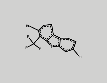 FC(F)(F)c1c(Br)ccc2c1sc1cc(Cl)ccc12